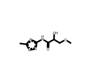 COCC(O)C(=O)Nc1nc(C)ns1